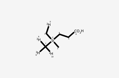 [2H]C[Si](C)(CCC(=O)O)C([2H])([2H])[2H]